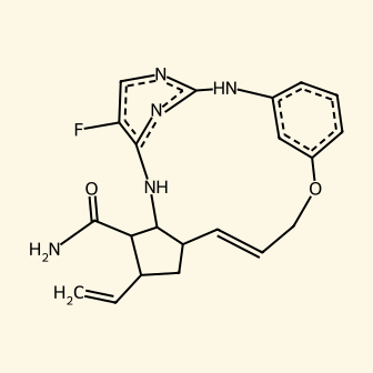 C=CC1CC2/C=C/COc3cccc(c3)Nc3ncc(F)c(n3)NC2C1C(N)=O